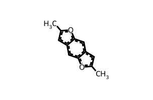 Cc1cc2cc3oc(C)cc3cc2o1